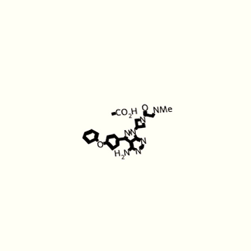 CC(=O)O.CNCC(=O)N1CC(n2nc(-c3ccc(Oc4ccccc4)cc3)c3c(N)ncnc32)C1